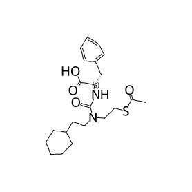 CC(=O)SCCN(CCC1CCCCC1)C(=O)N[C@@H](Cc1ccccc1)C(=O)O